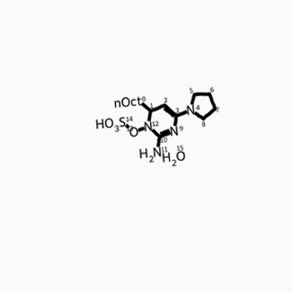 CCCCCCCCC1C=C(N2CCCC2)N=C(N)N1OS(=O)(=O)O.O